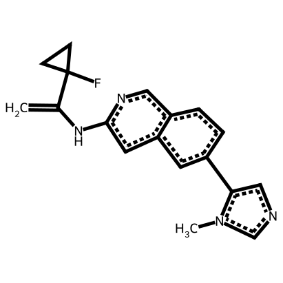 C=C(Nc1cc2cc(-c3cncn3C)ccc2cn1)C1(F)CC1